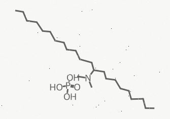 CCCCCCCCCCCCC(CCCCCCCCC)N(C)C.O=P(O)(O)O